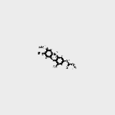 CCOC(=S)Sc1cc(Br)c(Oc2ccc(OC)c(C(C)C)c2)c(Br)c1